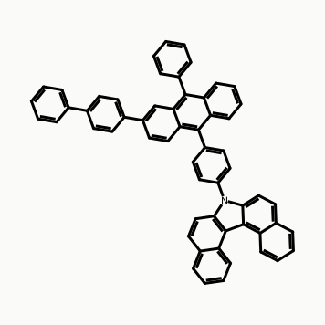 c1ccc(-c2ccc(-c3ccc4c(-c5ccc(-n6c7ccc8ccccc8c7c7c8ccccc8ccc76)cc5)c5ccccc5c(-c5ccccc5)c4c3)cc2)cc1